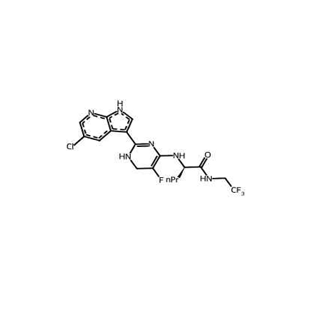 CCC[C@@H](NC1=C(F)CNC(c2c[nH]c3ncc(Cl)cc23)=N1)C(=O)NCC(F)(F)F